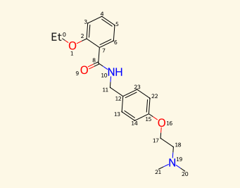 CCOc1ccccc1C(=O)NCc1ccc(OCCN(C)C)cc1